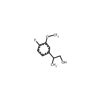 [CH2]C(CO)c1ccc(F)c(OC(F)(F)F)c1